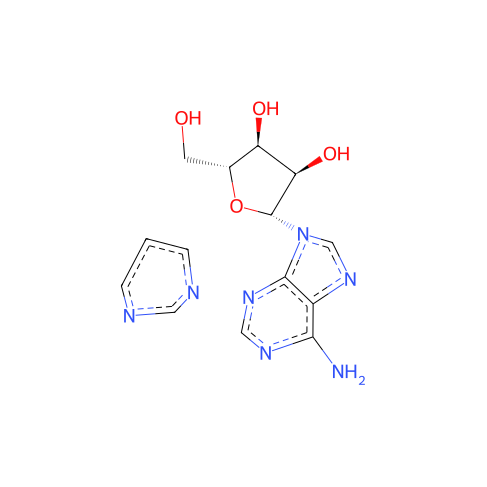 Nc1ncnc2c1ncn2[C@@H]1O[C@H](CO)[C@@H](O)[C@H]1O.c1cncnc1